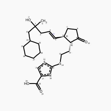 CC(O)(C/C=C/[C@H]1CCC(=O)[C@@H]1CCSc1nc(C(=O)O)cs1)CC1CCCCC1